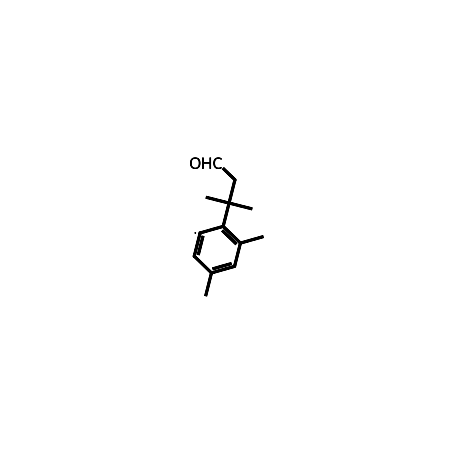 Cc1c[c]c(C(C)(C)CC=O)c(C)c1